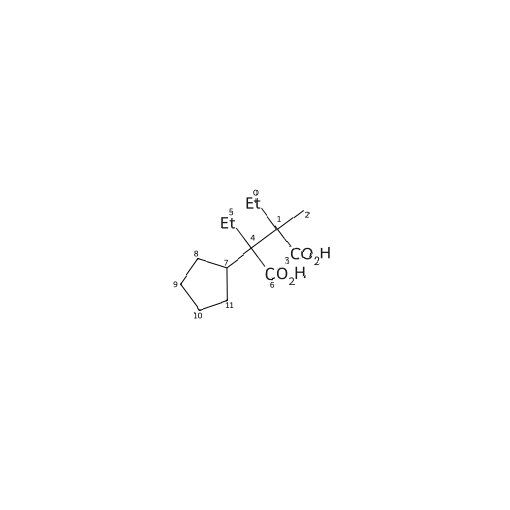 CCC(C)(C(=O)O)C(CC)(C(=O)O)C1CCCC1